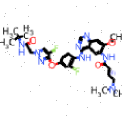 COc1cc2ncnc(Nc3ccc(Oc4nn(CC(=O)NC(C)(C)C)cc4F)cc3F)c2cc1NC(=O)/C=C/CN(C)C